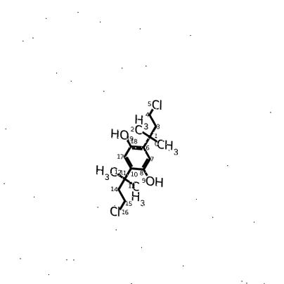 CC(C)(CCCl)c1cc(O)c(C(C)(C)CCCl)cc1O